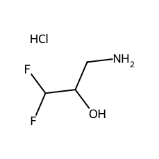 Cl.NCC(O)C(F)F